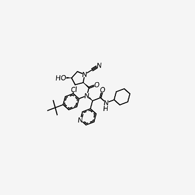 CC(C)(C)c1ccc(N(C(=O)[C@H]2C[C@@H](O)CN2C#N)[C@@H](C(=O)NC2CCCCC2)c2cccnc2)c(Cl)c1